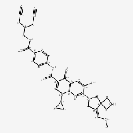 C#CCC(CC#C)COC(=O)c1ccc(OC(=O)c2cn(C3CC3)c3nc(N4C/C(=N/OC)C5(CNC5)C4)c(F)cc3c2=O)cc1